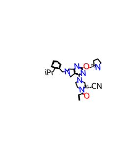 C=CC(=O)N1CCN(c2nc(OC[C@@H]3CCCN3C)nc3c2CN(Cc2ccccc2C(C)C)C3)C[C@@H]1CC#N